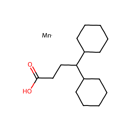 O=C(O)CCC(C1CCCCC1)C1CCCCC1.[Mn]